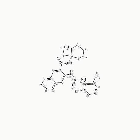 O=C(O)CC1(NC(=O)c2cc3ccccc3cc2NC(=O)Nc2c(Cl)cccc2C(F)(F)F)CCCCC1